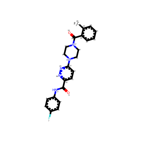 O=C(Nc1ccc(F)cc1)c1ccc(N2CCN(C(=O)c3ccccc3C(F)(F)F)CC2)nn1